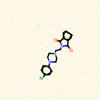 O=C1c2ccccc2C(=O)N1CCN1CCN(c2ccc(Br)cc2)CC1